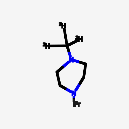 [2H]C([2H])([2H])N1CCN(C(C)C)CC1